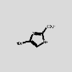 CCCCc1c[nH]c(C(=O)O)n1